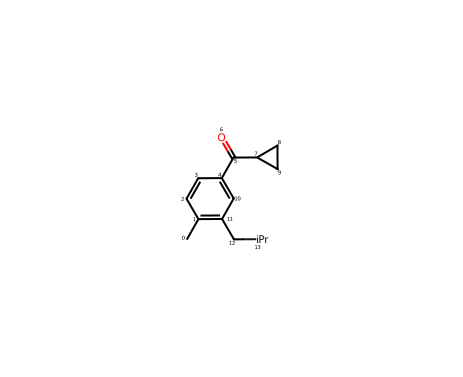 Cc1ccc(C(=O)C2CC2)cc1CC(C)C